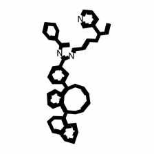 C=CC(C/C=C/C=N/C(=N\C(=C)C1=CC=CCC1)c1cccc(/C2=c3\cccc\c3=C(/C3=c4ccccc4=CCC3)C/C=C\C=C/C2)c1)c1cccnc1